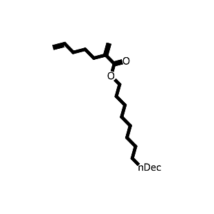 C=CCCCC(=C)C(=O)OCCCCCCCCCCCCCCCCCC